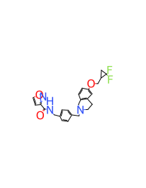 O=C(NCc1ccc(CN2CCc3cc(OCC4CC4(F)F)ccc3C2)cc1)c1ccon1